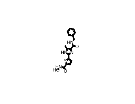 Cc1[nH]c(-c2ccc(C(=O)NO)s2)nc1C(=O)NCc1ccccc1